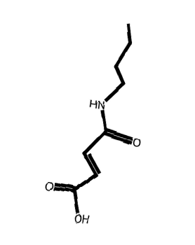 CCCCNC(=O)C=CC(=O)O